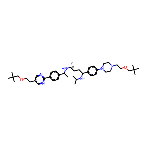 CC(C)NC(CC[C@@H](C)NC(C)c1ccc(-c2ncc(CCOCC(C)(C)C)cn2)cc1)c1ccc(N2CCN(CCOCC(C)(C)C)CC2)cc1